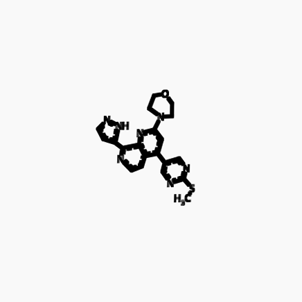 CSc1ncc(-c2cc(N3CCOCC3)nc3c(-c4ccn[nH]4)nccc23)cn1